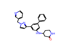 O=C1CC(Nc2cc(-c3ccccc3)cc(-c3ccn(Cc4cccnc4)n3)c2)CCN1